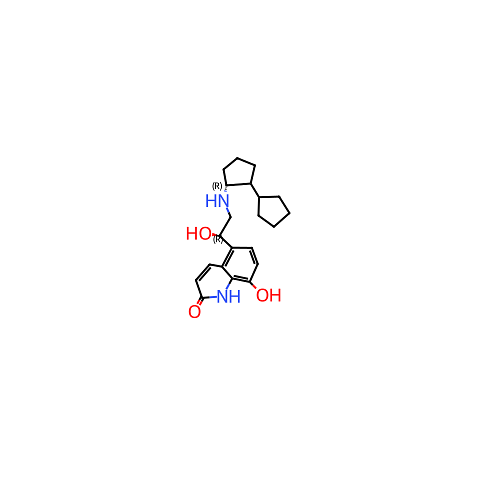 O=c1ccc2c([C@@H](O)CN[C@@H]3CCCC3C3CCCC3)ccc(O)c2[nH]1